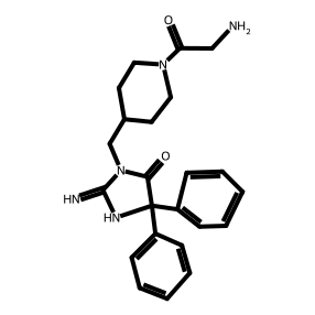 N=C1NC(c2ccccc2)(c2ccccc2)C(=O)N1CC1CCN(C(=O)CN)CC1